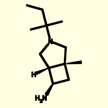 CCC(C)(C)N1C[C@@H]2[C@H](N)C[C@]2(C)C1